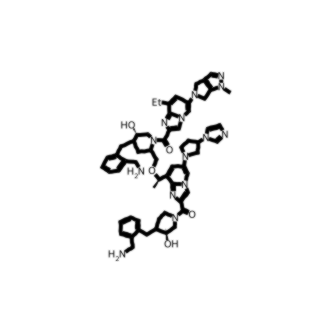 CCc1cc(N2Cc3cnn(C)c3C2)cn2cc(C(=O)N3C[C@@H](O)C(Cc4ccccc4CN)CC3CO[C@H](C)c3cc(N4CCC(n5ccnc5)C4)cn4cc(C(=O)N5CCC(Cc6ccccc6CN)[C@H](O)C5)nc34)nc12